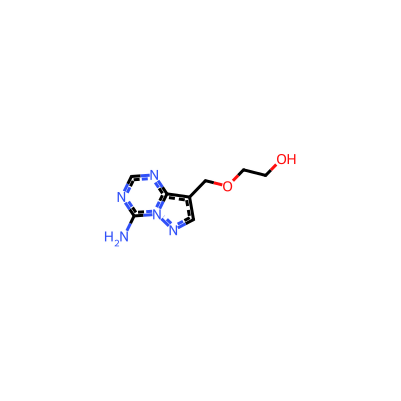 Nc1ncnc2c(COCCO)cnn12